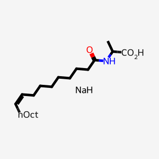 CCCCCCCC/C=C\CCCCCCCC(=O)NC(C)C(=O)O.[NaH]